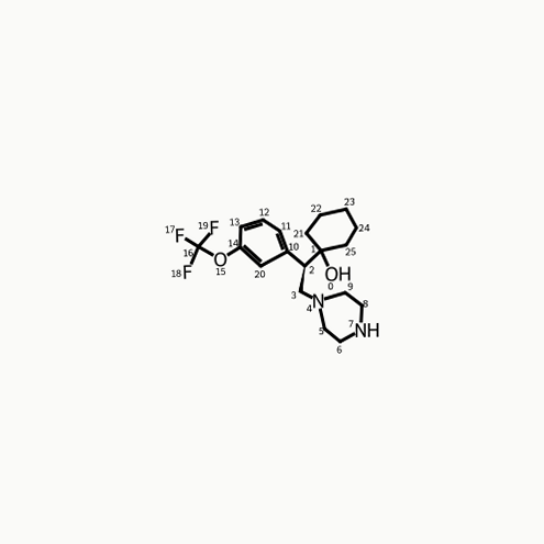 OC1([C@@H](CN2CCNCC2)c2cccc(OC(F)(F)F)c2)CCCCC1